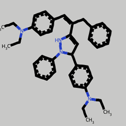 CCN(CC)c1ccc(C=C(Cc2ccccc2)C2=CC(c3ccc(N(CC)CC)cc3)N(c3ccccc3)N2)cc1